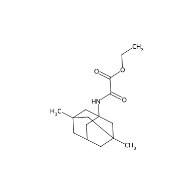 CCOC(=O)C(=O)NC12CC3CC(C)(CC(C)(C3)C1)C2